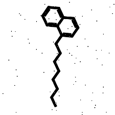 CCCCCCCCc1cccc2cc[c]cc12